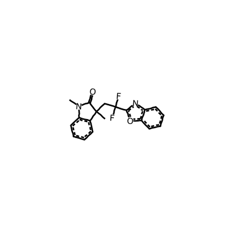 CN1C(=O)C(C)(CC(F)(F)c2nc3ccccc3o2)c2ccccc21